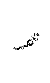 CC(C)CCOCCN1CCN(C(=O)OC(C)(C)C)CC1